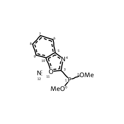 COP(OC)c1nc2ccccc2o1.[N]